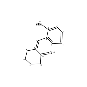 CCCCc1ccccc1C=C1CCCCC1=O